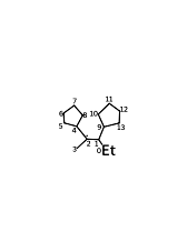 CCC([C](C)C1CCCC1)C1CCCC1